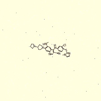 CNc1cc2c(Nc3ccc(Sc4nccn4C)c(Cl)c3)c(C#N)cnc2cc1N1CCC(N2CCCC2)CC1